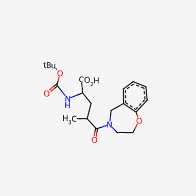 CC(CC(NC(=O)OC(C)(C)C)C(=O)O)C(=O)N1CCOc2ccccc2C1